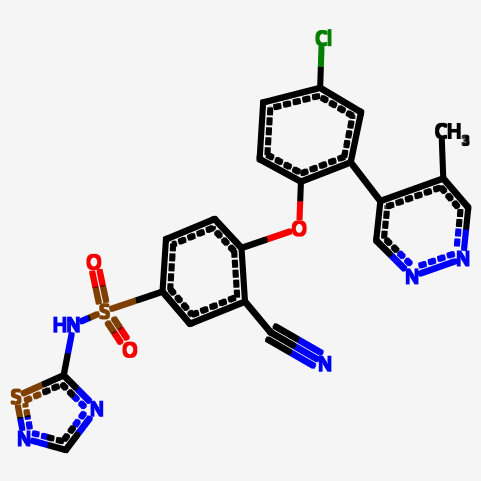 Cc1cnncc1-c1cc(Cl)ccc1Oc1ccc(S(=O)(=O)Nc2ncns2)cc1C#N